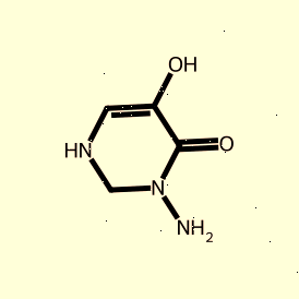 NN1CNC=C(O)C1=O